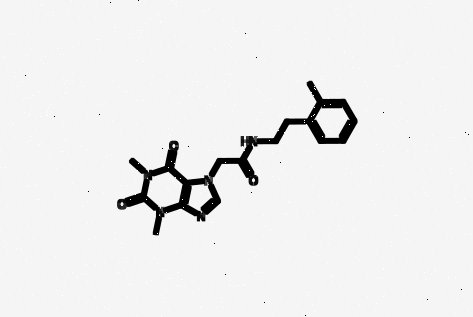 Cc1ccccc1CCNC(=O)Cn1cnc2c1c(=O)n(C)c(=O)n2C